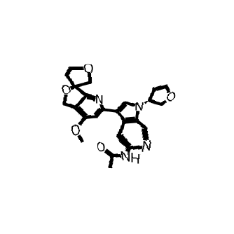 COc1cc(-c2cn([C@@H]3CCOC3)c3cnc(NC(C)=O)cc23)nc2c1COC21CCOC1